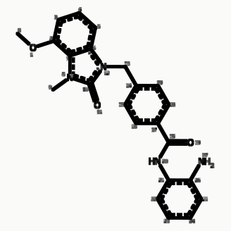 COc1cccc2c1n(C)c(=O)n2Cc1ccc(C(=O)Nc2ccccc2N)cc1